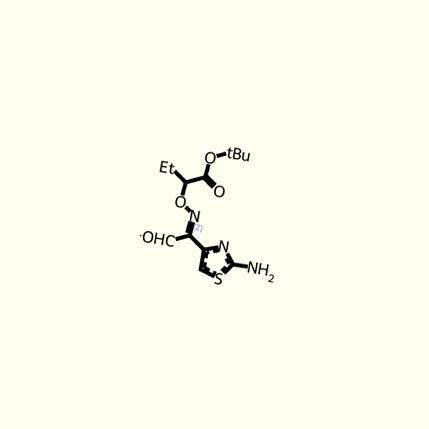 CCC(O/N=C(\[C]=O)c1csc(N)n1)C(=O)OC(C)(C)C